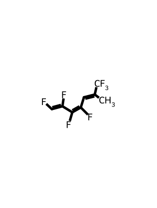 C\C(=C/C(F)=C(F)\C(F)=C\F)C(F)(F)F